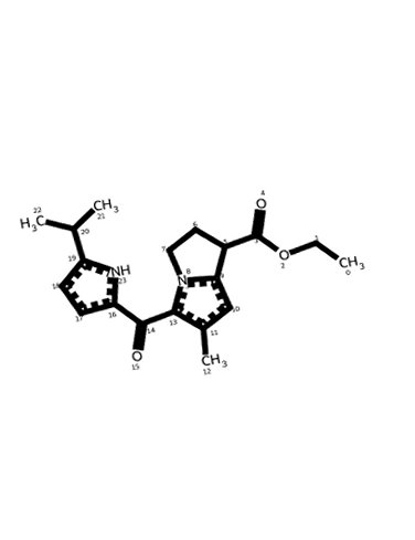 CCOC(=O)C1CCn2c1cc(C)c2C(=O)c1ccc(C(C)C)[nH]1